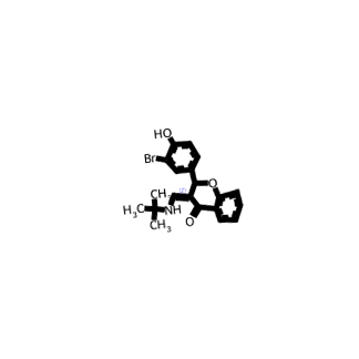 CC(C)(C)N/C=C1\C(=O)c2ccccc2OC1c1ccc(O)c(Br)c1